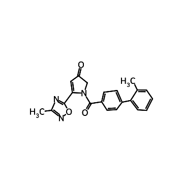 Cc1noc(C2=CC(=O)CN2C(=O)c2ccc(-c3ccccc3C)cc2)n1